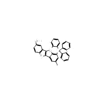 Cc1cc2c3c(c1)[Si](c1ccccc1)(c1ccccc1)c1ccccc1B3c1c-2sc2ccc(C(C)(C)C)cc12